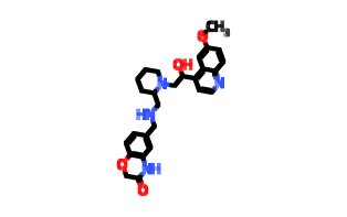 COc1ccc2nccc(C(O)CN3CCCCC3CNCc3ccc4c(c3)NC(=O)CO4)c2c1